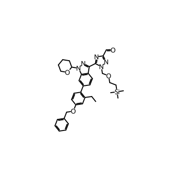 CCc1cc(OCc2ccccc2)ccc1-c1ccc2c(-c3nc(C=O)nn3COCC[Si](C)(C)C)nn(C3CCCCO3)c2c1